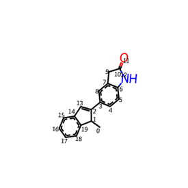 CC1C(c2ccc3c(c2)CC(=O)N3)=Cc2ccccc21